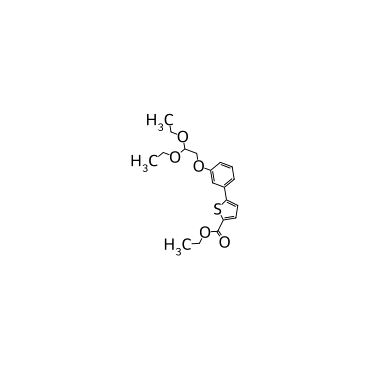 CCOC(=O)c1ccc(-c2cccc(OCC(OCC)OCC)c2)s1